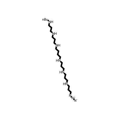 CCCCNCCCNCCCNCCCCNCCCNCCCNCCCN=[N+]=[N-]